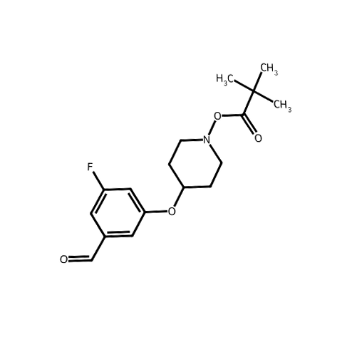 CC(C)(C)C(=O)ON1CCC(Oc2cc(F)cc(C=O)c2)CC1